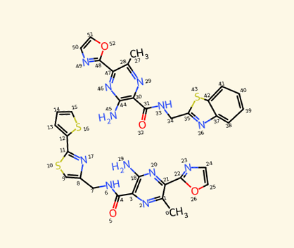 Cc1nc(C(=O)NCc2csc(-c3cccs3)n2)c(N)nc1-c1ncco1.Cc1nc(C(=O)NCc2nc3ccccc3s2)c(N)nc1-c1ncco1